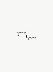 C#CC(C)CCCC(C)CCCC(C)CCCC(C)C